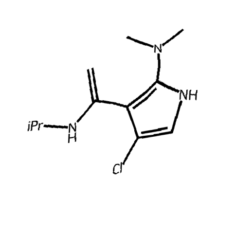 C=C(NC(C)C)c1c(Cl)c[nH]c1N(C)C